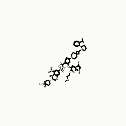 COCCOc1nc2[nH]cc(F)c2cc1Oc1cc(N2CCC3(CC2)CC(N2CCC[C@@H]2c2ccccc2C(C)C)C3)ccc1C(=O)NS(=O)(=O)c1cc2c(c([N+](=O)[O-])c1)N[C@@H](C1CCC(C)(O)CC1)CO2